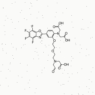 O=CCN(CCOCCOc1cc(-c2nc3c(F)c(F)c(F)c(F)c3o2)ccc1N(CC(=O)O)CC(=O)O)CC(=O)O